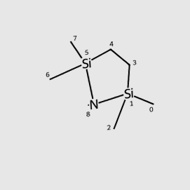 C[Si]1(C)CC[Si](C)(C)[N]1